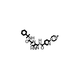 CN1CCN(c2ccc(C(=O)Nc3n[nH]c4sc(C(=O)NC(C)(C)c5ccccc5)nc34)cn2)CC1